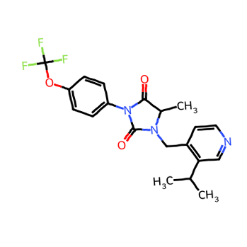 CC(C)c1cnccc1CN1C(=O)N(c2ccc(OC(F)(F)F)cc2)C(=O)C1C